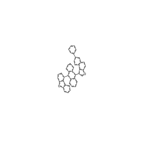 c1ccc(-c2ccc3c(ccc4occ(-c5c6ccccc6c(-c6cccc7oc8ccccc8c67)c6ccccc56)c43)c2)cc1